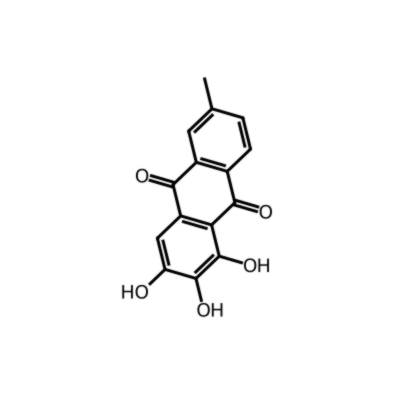 Cc1ccc2c(c1)C(=O)c1cc(O)c(O)c(O)c1C2=O